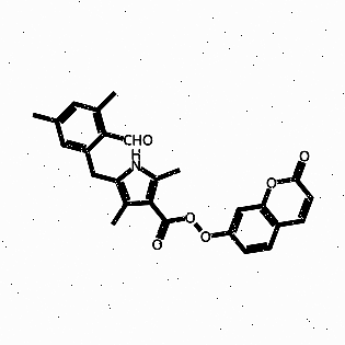 Cc1cc(C)c(C=O)c(Cc2[nH]c(C)c(C(=O)OOc3ccc4ccc(=O)oc4c3)c2C)c1